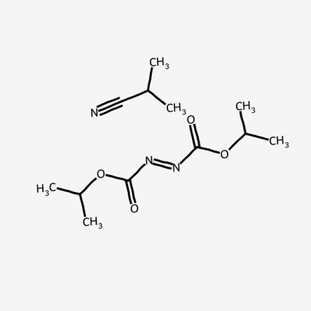 CC(C)C#N.CC(C)OC(=O)N=NC(=O)OC(C)C